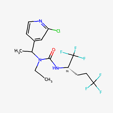 CCN(C(=O)N[C@@H](CCC(F)(F)F)C(F)(F)F)C(C)c1ccnc(Cl)c1